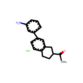 COC(=O)C1CCc2ccc(-c3cccc(N)c3)cc2C1.Cl